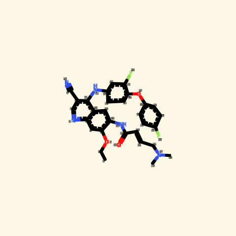 CCOc1cc2ncc(C#N)c(Nc3ccc(Oc4ccc(F)cc4)c(F)c3)c2cc1NC(=O)C=CCN(C)C